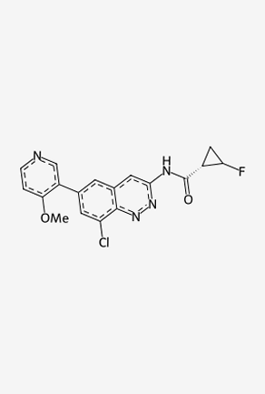 COc1ccncc1-c1cc(Cl)c2nnc(NC(=O)[C@@H]3CC3F)cc2c1